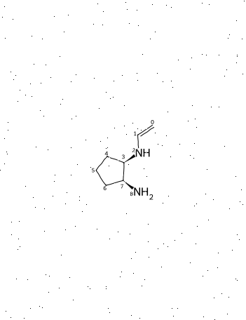 C=CN[C@@H]1CCC[C@@H]1N